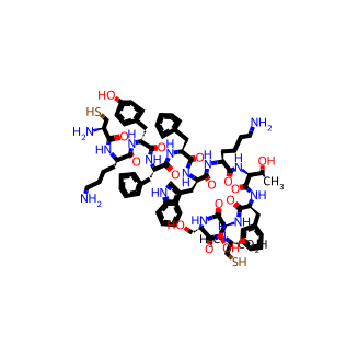 C[C@@H](O)[C@H](NC(=O)[C@H](Cc1ccccc1)NC(=O)[C@@H](NC(=O)[C@H](CCCCN)NC(=O)[C@@H](Cc1c[nH]c2ccccc12)NC(=O)[C@H](Cc1ccccc1)NC(=O)[C@H](Cc1ccccc1)NC(=O)[C@@H](Cc1ccc(O)cc1)NC(=O)[C@H](CCCCN)NC(=O)[C@@H](N)CS)[C@@H](C)O)C(=O)N[C@@H](CO)C(=O)N[C@@H](CS)C(=O)O